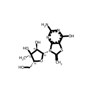 C=C1Sc2c(O)nc(N)nc2N1[C@@H]1O[C@H](CO)[C@@](C)(O)[C@H]1O